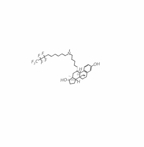 C=CC12CCc3cc(O)ccc3[C@H]1[C@@H](CCCCCN(C)CCCCCCC(F)(F)C(F)(F)C(F)(F)F)C[C@]1(C)[C@@H](O)CC[C@@H]21